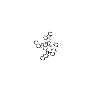 c1ccc(-c2nc(-c3cccc4c3oc3ccccc34)nc(-c3cc(-n4c5cc6ccccc6cc5c5ccc6ccccc6c54)cc4c3oc3c5ccccc5ccc43)n2)cc1